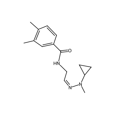 Cc1ccc(C(=O)NC/C=N\N(C)C2CC2)cc1C